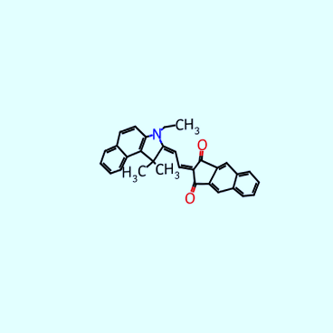 CCN1/C(=C/C=C2C(=O)c3cc4ccccc4cc3C2=O)C(C)(C)c2c1ccc1ccccc21